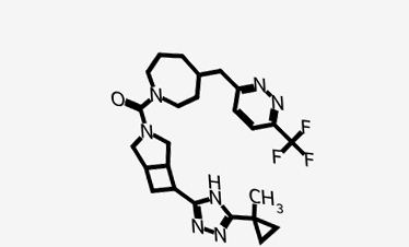 CC1(c2nnc(C3CC4CN(C(=O)N5CCCC(Cc6ccc(C(F)(F)F)nn6)CC5)CC43)[nH]2)CC1